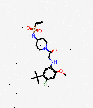 C=CS(=O)(=O)NC1CCN(C(=O)CNc2cc(C(C)(C)C)c(Cl)cc2OC)CC1